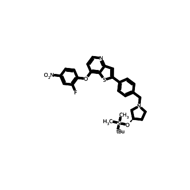 CC(C)(C)[Si](C)(C)O[C@H]1CCN(Cc2ccc(-c3cc4nccc(Oc5ccc([N+](=O)[O-])cc5F)c4s3)cc2)C1